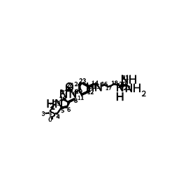 CS(C)(C)Cc1cc2cn(-c3ccc(CNCCCNC(=N)N)cc3)c(=O)nc2[nH]1